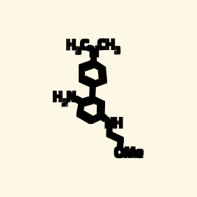 COCCNc1ccc(N)c(-c2ccc(N(C)C)cc2)c1